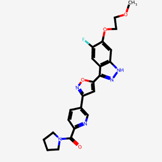 COCCOc1cc2[nH]nc(-c3cc(-c4ccc(C(=O)N5CCCC5)nc4)no3)c2cc1F